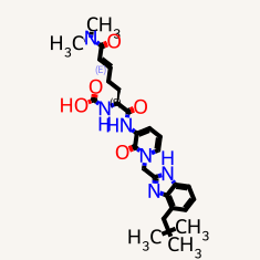 CN(C)C(=O)/C=C/CC[C@H](NC(=O)O)C(=O)Nc1cccn(Cc2nc3c(CC(C)(C)C)cccc3[nH]2)c1=O